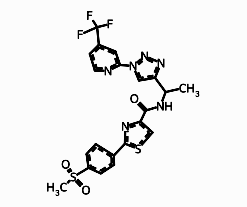 CC(NC(=O)c1csc(-c2ccc(S(C)(=O)=O)cc2)n1)c1cn(-c2cc(C(F)(F)F)ccn2)nn1